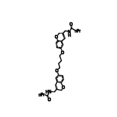 CCCC(=O)NCC1=Cc2cc(OCCCCOc3ccc4c(c3)C=C(CNC(=O)CCC)CO4)ccc2OC1